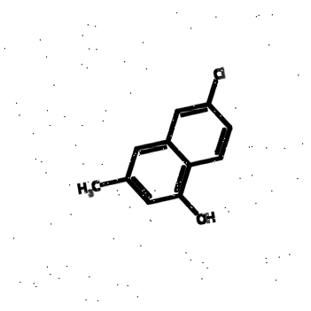 Cc1cc(O)c2ccc(Cl)cc2c1